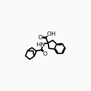 O=C(NC1(C(=O)O)Cc2ccccc2C1)C1CC2CCC1C2